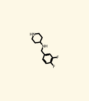 Fc1ccc(CNC2CCNCC2)cc1F